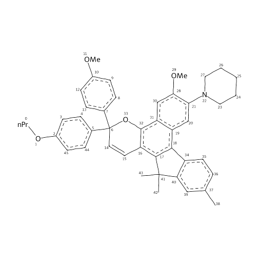 CCCOc1ccc(C2(c3ccc(OC)cc3)C=Cc3c4c(c5cc(N6CCCCC6)c(OC)cc5c3O2)-c2ccc(C)cc2C4(C)C)cc1